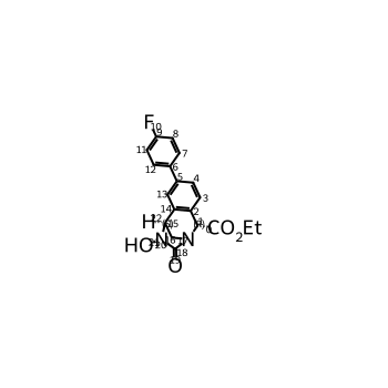 CCOC(=O)[C@H]1c2ccc(-c3ccc(F)cc3)cc2[C@H]2CN1C(=O)N2O